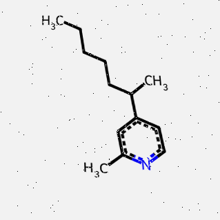 CCCCCC(C)c1ccnc(C)c1